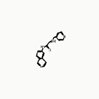 O=C(CNCc1ccncc1)Nc1ccc2cnccc2c1